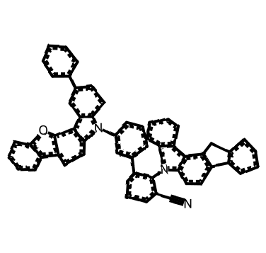 N#Cc1cccc(-c2cccc(-n3c4ccc(-c5ccccc5)cc4c4c5oc6ccccc6c5ccc43)c2)c1-n1c2ccccc2c2c3c(ccc21)-c1ccccc1C3